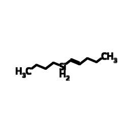 CCCC=C[SiH2]CCCC